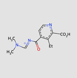 CCc1c(C(=O)/N=C/N(C)C)ccnc1C(=O)O